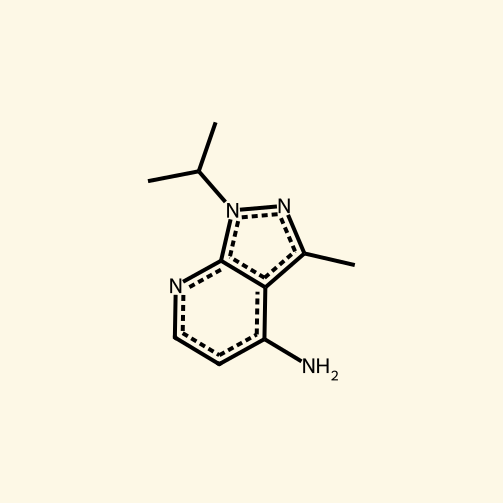 Cc1nn(C(C)C)c2nccc(N)c12